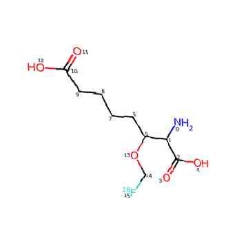 NC(C(=O)O)C(CCCCC(=O)O)OC[18F]